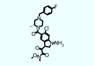 CON(C)C(=O)C(=O)C1CN(N)c2cc(Cl)c(C(=O)N3CCN(Cc4ccc(F)cc4)C[C@H]3C)cc21